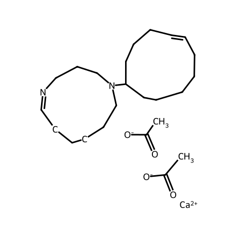 C1=CCCCC(N2CCCCCC=NCCC2)CCCCC1.CC(=O)[O-].CC(=O)[O-].[Ca+2]